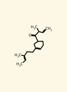 C=CC(C)C(=O)C1CCC=C(CCC(C)=CC)C1